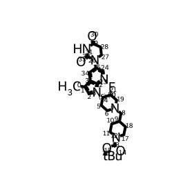 Cc1cn([C@H]2CCN(CC3CCN(C(=O)OC(C)(C)C)CC3)C[C@H]2F)c2ncc(N3CCC(=O)NC3=O)cc12